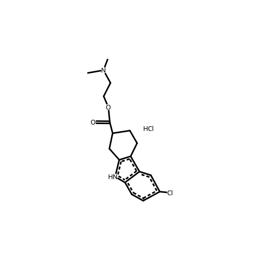 CN(C)CCOC(=O)C1CCc2c([nH]c3ccc(Cl)cc23)C1.Cl